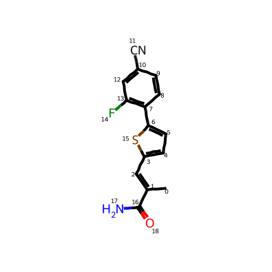 C/C(=C\c1ccc(-c2ccc(C#N)cc2F)s1)C(N)=O